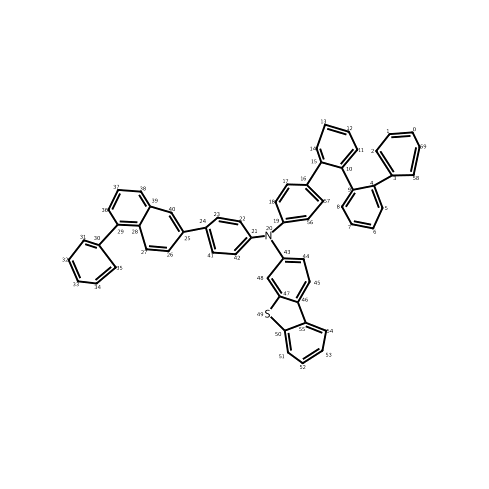 c1ccc(-c2ccccc2-c2ccccc2-c2ccc(N(c3ccc(-c4ccc5c(-c6ccccc6)cccc5c4)cc3)c3ccc4c(c3)sc3ccccc34)cc2)cc1